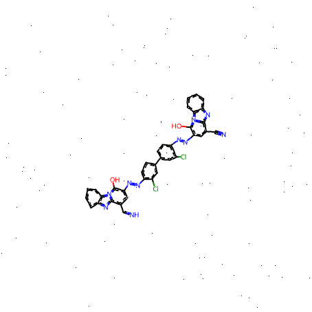 N#Cc1cc(N=Nc2ccc(-c3ccc(N=Nc4cc(C=N)c5nc6ccccc6n5c4O)c(Cl)c3)cc2Cl)c(O)n2c1nc1ccccc12